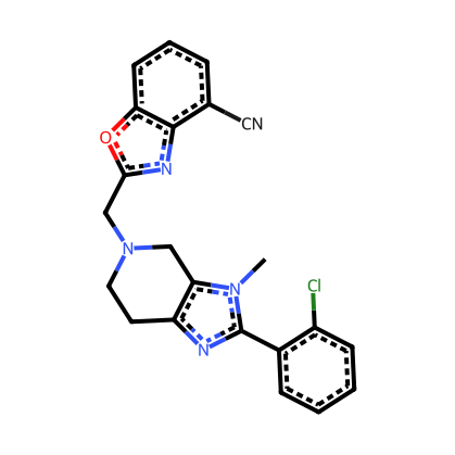 Cn1c(-c2ccccc2Cl)nc2c1CN(Cc1nc3c(C#N)cccc3o1)CC2